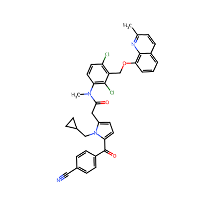 Cc1ccc2cccc(OCc3c(Cl)ccc(N(C)C(=O)Cc4ccc(C(=O)c5ccc(C#N)cc5)n4CC4CC4)c3Cl)c2n1